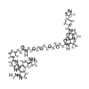 Cc1ncsc1-c1ccc(CNC(=O)[C@@H]2CCCN2C(=O)C(NC(=O)CCOCCOCCOCCOCCNC(=O)CCc2cccc(-c3ccc4nc(-c5cccnc5N)n(-c5ccc(C6(N)CCC6)cc5)c4n3)c2)C(C)(C)C)cc1